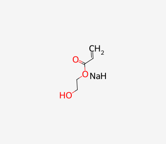 C=CC(=O)OCCO.[NaH]